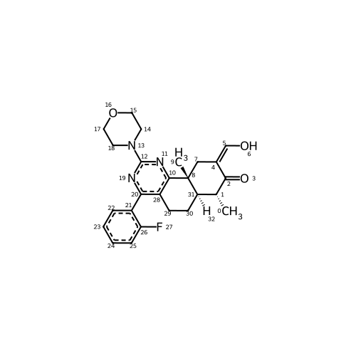 C[C@H]1C(=O)/C(=C\O)C[C@@]2(C)c3nc(N4CCOCC4)nc(-c4ccccc4F)c3CC[C@H]12